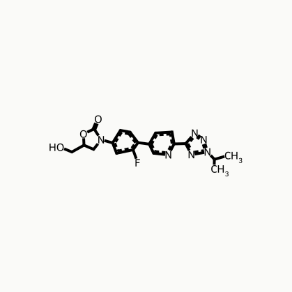 CC(C)n1nnc(-c2ccc(-c3ccc(N4CC(CO)OC4=O)cc3F)cn2)n1